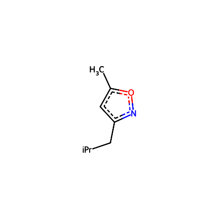 Cc1cc(CC(C)C)no1